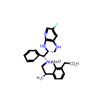 COc1c(CC(=O)O)cccc1[C@@H](C)CN[C@H](c1ccccc1)[C@H]1CNc2cc(F)cnc2N1